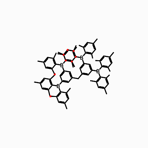 Cc1cc(C)c(B(c2cc(Cc3cc(B(c4c(C)cc(C)cc4C)c4c(C)cc(C)cc4C)cc(B(c4c(C)cc(C)cc4C)c4c(C)cc(C)cc4C)c3)cc(B(c3c(C)cc(C)cc3C)c3c(C)cc(C)cc3C)c2)c2c(C)cc(C)cc2C)c(C)c1